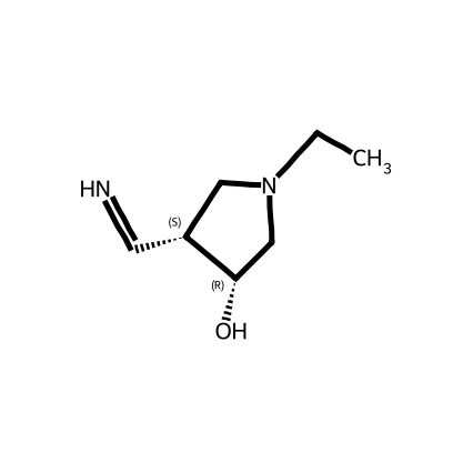 CCN1C[C@@H](C=N)[C@@H](O)C1